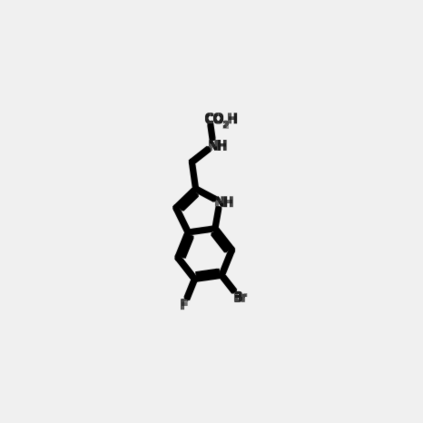 O=C(O)NCc1cc2cc(F)c(Br)cc2[nH]1